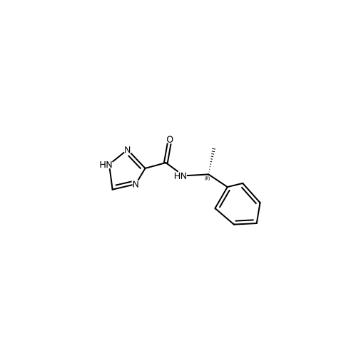 C[C@@H](NC(=O)c1nc[nH]n1)c1ccccc1